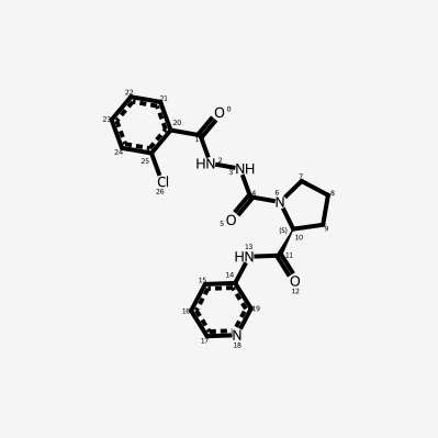 O=C(NNC(=O)N1CCC[C@H]1C(=O)Nc1cccnc1)c1ccccc1Cl